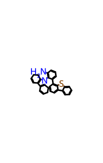 Nc1cccc(-c2cccc3c2sc2ccccc23)c1-n1c2c(c3c1CCC=C3)C=CCC2